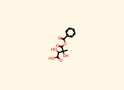 CC(O)(C(=O)OC(=O)c1ccccc1)C(O)C(=O)O